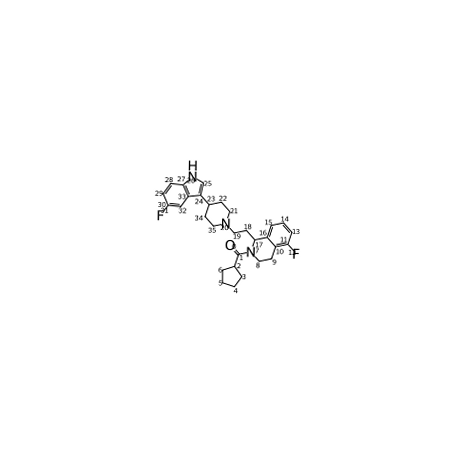 O=C(C1CCCC1)N1CCc2c(F)cccc2C1CCN1CCC(c2c[nH]c3ccc(F)cc23)CC1